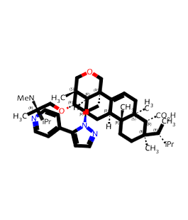 CN[C@@](C)(CO[C@H]1[C@H](n2nccc2-c2ccncc2)C[C@@]23COC[C@]1(C)[C@@H]2CC[C@H]1C3=CC[C@@]2(C)[C@H](C(=O)O)[C@@](C)([C@H](C)C(C)C)CC[C@]12C)C(C)C